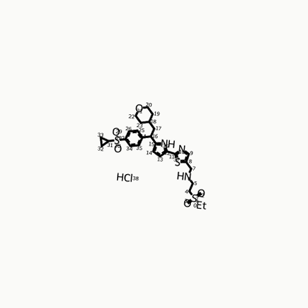 CCS(=O)(=O)CCNCc1cnc(-c2ccc(C(CC3CCOCC3)c3ccc(S(=O)(=O)C4CC4)cc3)[nH]2)s1.Cl